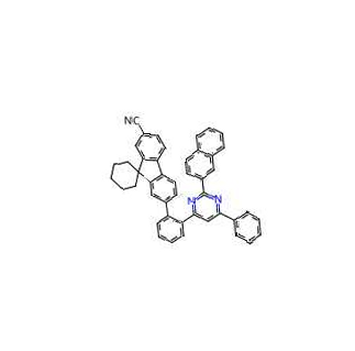 N#Cc1ccc2c(c1)C1(CCCCC1)c1cc(-c3ccccc3-c3cc(-c4ccccc4)nc(-c4ccc5ccccc5c4)n3)ccc1-2